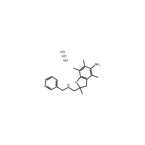 Cc1c(C)c2c(c(C)c1N)CC(C)(CNCc1cccnc1)O2.Cl.Cl.Cl